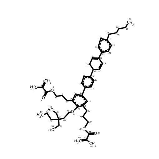 C=C(C)C(=O)OCCCc1cc(-c2ccc(C3C=CC(c4ccc(CCCCC)cc4)=CC3)cc2)cc(CCCOC(=O)C(=C)C)c1OCCC(CO)(CO)CCC